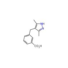 Cc1n[nH]c(C)c1Cc1cccc(C(=O)O)c1